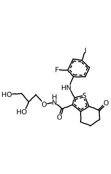 O=C1CCCc2c1sc(Nc1ccc(I)cc1F)c2C(=O)NOCC(O)CO